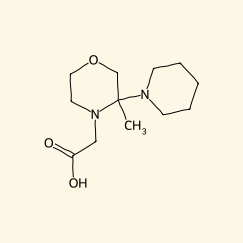 CC1(N2CCCCC2)COCCN1CC(=O)O